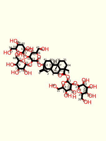 C=C1C[C@@]23CCC4C(C)(C(=O)OC5OC(CO)C(O)[C@H](O)C5OC5OC(CO)[C@H](O)C(O)C5O)CCC[C@@]4(C)[C@@H]2CC[C@]1(OC1OC(CO)C(O)C(OC2OC(CO)C(O)CC2O)C1OC1OC(CO)C(O)C(O)C1O)C3